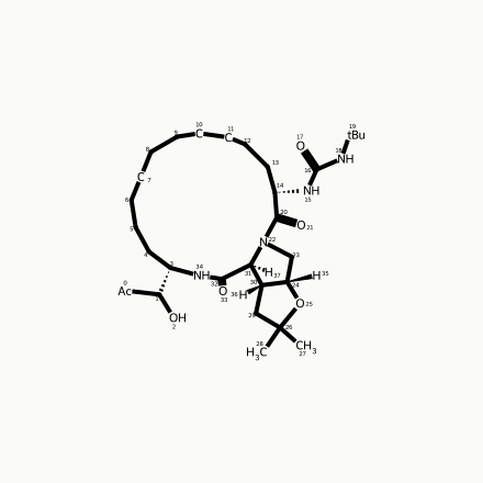 CC(=O)C(O)[C@@H]1CCCCCCCCCC[C@H](NC(=O)NC(C)(C)C)C(=O)N2C[C@@H]3OC(C)(C)C[C@@H]3[C@H]2C(=O)N1